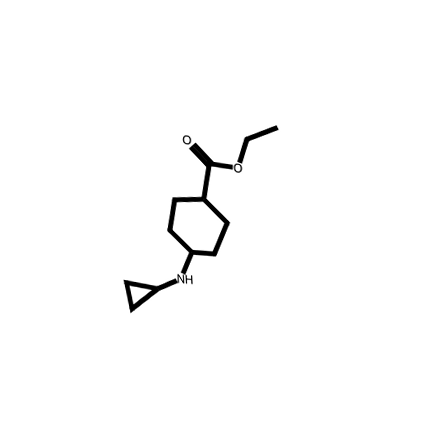 CCOC(=O)C1CCC(NC2CC2)CC1